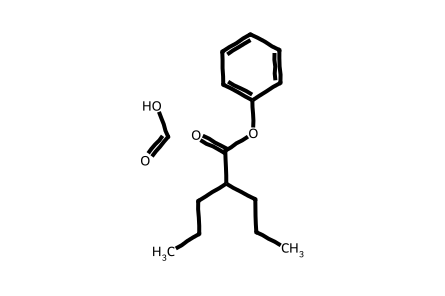 CCCC(CCC)C(=O)Oc1ccccc1.O=CO